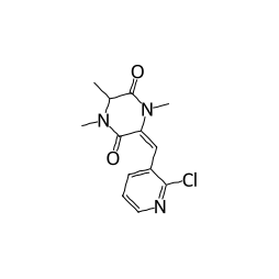 CC1C(=O)N(C)C(=Cc2cccnc2Cl)C(=O)N1C